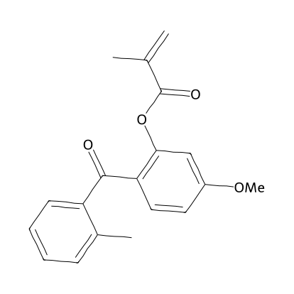 C=C(C)C(=O)Oc1cc(OC)ccc1C(=O)c1ccccc1C